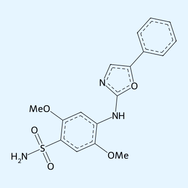 COc1cc(S(N)(=O)=O)c(OC)cc1Nc1ncc(-c2ccccc2)o1